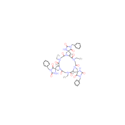 CC(C)CN1CC(=O)N2C[C@@]3(C[C@@H]2C(=O)N(CC(C)C)CC(=O)N2C[C@@]4(C[C@@H]2C(=O)N(CC(C)C)CC(=O)N2C[C@@]5(C[C@@H]2C1=O)NC(=O)N(Cc1ccccc1)C5=O)NC(=O)N(Cc1ccccc1)C4=O)NC(=O)N(Cc1ccccc1)C3=O